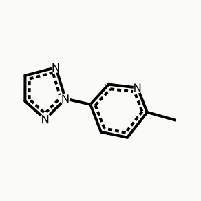 Cc1ccc(-n2nccn2)[c]n1